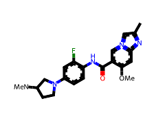 CNC1CCN(c2ccc(NC(=O)c3cn4cc(C)nc4cc3OC)c(F)c2)C1